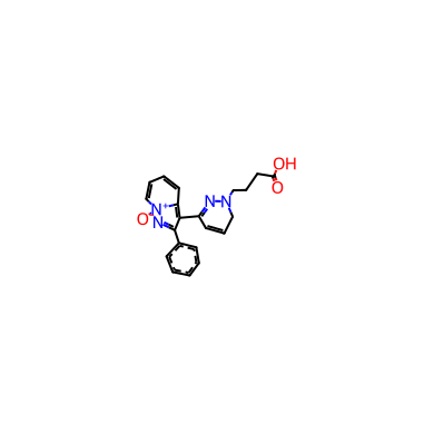 O=C(O)CCCN1CC=CC(C2=C3C=CC=C[N+]3([O-])N=C2c2ccccc2)=N1